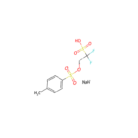 Cc1ccc(S(=O)(=O)OCC(F)(F)S(=O)(=O)O)cc1.[NaH]